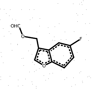 O=[C]OCc1coc2ccc(F)cc12